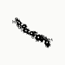 Cn1c(=O)n(C2CCC(=O)NC2=O)c2cccc(N3CCC(CN4CCC5(CC4)CCN(c4ccc6cc(-c7n[nH]c8c7CCC(C)(C)C8)[nH]c6c4)C5=O)CC3)c21